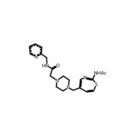 CC(=O)NC1=NC=C(CN2CCN(CC(=O)NCc3ccccn3)CC2)C=CS1